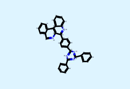 c1ccc(-c2nc(-c3ccccc3)nc(-c3ccc(-c4nc5ccccc5c5c4ncc4ccccc45)cc3)n2)cc1